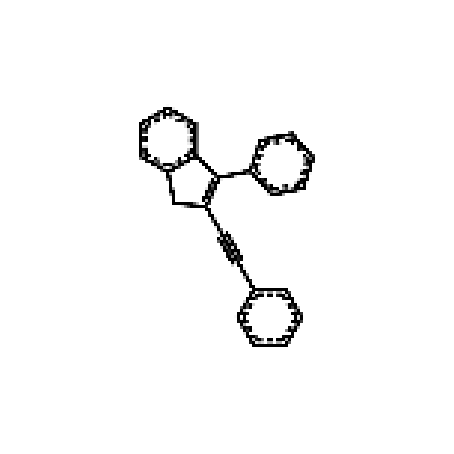 C(#Cc1ccccc1)C1=C(c2ccccc2)c2ccccc2C1